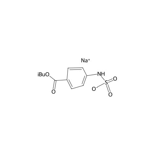 CC(C)COC(=O)c1ccc(NS(=O)(=O)[O-])cc1.[Na+]